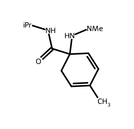 CNNC1(C(=O)NC(C)C)C=CC(C)=CC1